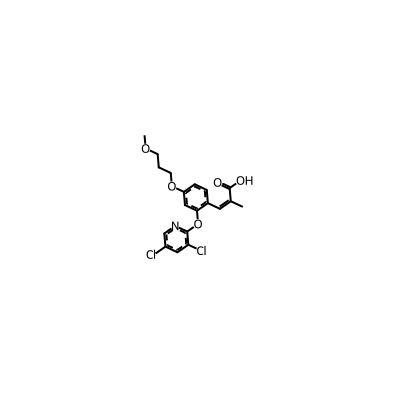 COCCCOc1ccc(C=C(C)C(=O)O)c(Oc2ncc(Cl)cc2Cl)c1